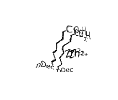 CCCCCCCCCCCCCCCCCC(=O)O.CCCCCCCCCCCCCCCCCC(=O)O.[Zn+2].[Zn+2]